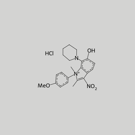 COc1ccc([N+]2(C)C(C)=C([N+](=O)[O-])c3ccc(O)c(N4CCCCC4)c32)cc1.Cl